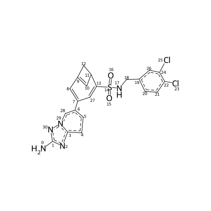 Nc1nc2ccc(C3=CC4=CC(C4)C(S(=O)(=O)NCc4ccc(Cl)c(Cl)c4)=C3)cn2n1